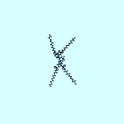 CCCCCCCCCCCCOC(=O)CCN(CCC(=O)OCCCCCCCCCCCC)CC1(C)CC(N(CCC(=O)OCCCCCCCCCCCC)CCC(=O)OCCCCCCCCCCCC)CC(C)(C)C1